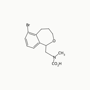 CN(CC1OCCCc2c(Br)cccc21)C(=O)O